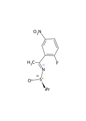 C/C(=N\[S@+]([O-])C(C)C)c1cc([N+](=O)[O-])ccc1F